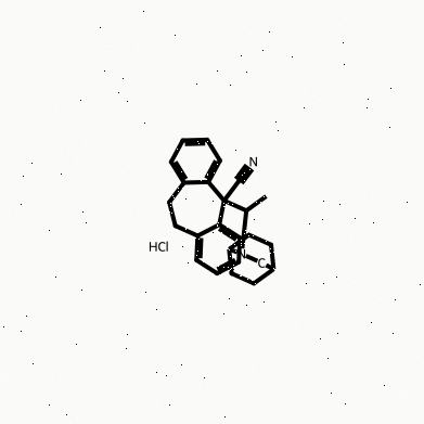 CC(N1CC2CCC1CC2)C1(C#N)c2ccccc2CCc2ccccc21.Cl